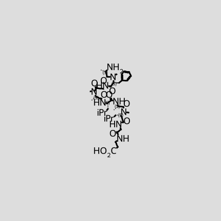 CC(C)C[C@H](NC(=O)[C@H](C)N(C)C(=O)CNC(=O)[C@H](Cc1ccccc1)N(C)C(=O)[C@H](C)N)C(=O)N[C@@H](C)C(=O)N(C)[C@@H](CC(C)C)C(=O)NCC(=O)NCCC(=O)O